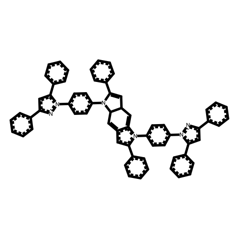 C1=C(c2ccccc2)N(c2ccc(-n3nc(-c4ccccc4)cc3-c3ccccc3)cc2)C2C=c3cc(-c4ccccc4)n(-c4ccc(-n5nc(-c6ccccc6)cc5-c5ccccc5)cc4)c3=CC12